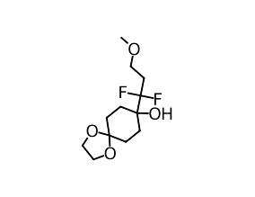 COCCC(F)(F)C1(O)CCC2(CC1)OCCO2